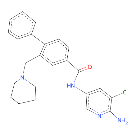 Nc1ncc(NC(=O)c2ccc(-c3ccccc3)c(CN3CCCCC3)c2)cc1Cl